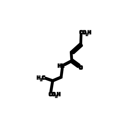 CC(CNC(=O)C=CC(=O)O)C(=O)O